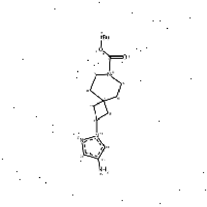 CC(C)(C)OC(=O)N1CCC2(CC1)CC(n1cc(N)cn1)C2